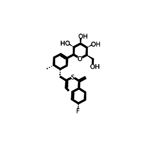 C=C(S/C(=C\C)C[C@H]1CC(C2O[C@H](CO)[C@@H](O)[C@H](O)[C@H]2O)=CC[C@H]1C)C1C=C[C@@H](F)CC1